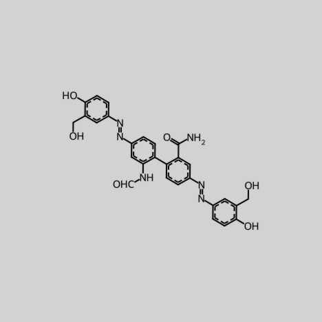 NC(=O)c1cc(N=Nc2ccc(O)c(CO)c2)ccc1-c1ccc(N=Nc2ccc(O)c(CO)c2)cc1NC=O